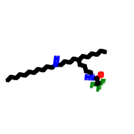 CCCCCCCCCCCNCCCCC(CCCCCC)CCCCNC(=O)C(F)(F)F